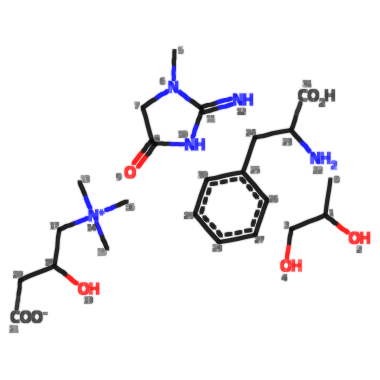 CC(O)CO.CN1CC(=O)NC1=N.C[N+](C)(C)CC(O)CC(=O)[O-].NC(Cc1ccccc1)C(=O)O